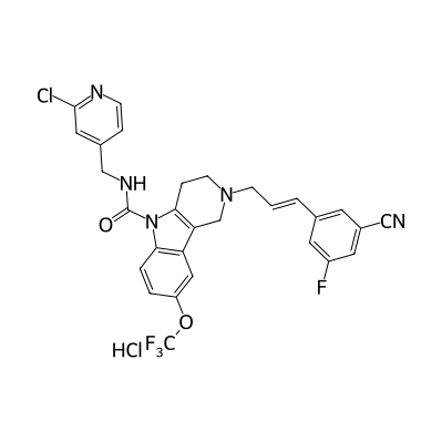 Cl.N#Cc1cc(F)cc(/C=C/CN2CCc3c(c4cc(OC(F)(F)F)ccc4n3C(=O)NCc3ccnc(Cl)c3)C2)c1